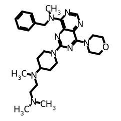 CN(C)CCN(C)C1CCN(c2nc(N3CCOCC3)c3ncnc(N(C)Cc4ccccc4)c3n2)CC1